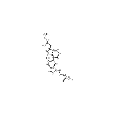 CCOC(=O)Cn1ncc2c(-c3cc4c(cnn4CCNC(C)=O)cc3F)cccc21